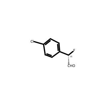 O=C[C@@H](F)c1ccc(Cl)cc1